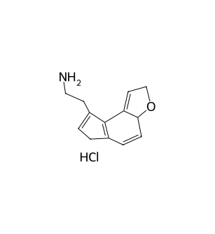 Cl.NCCC1=CCC2=C1C1=CCOC1C=C2